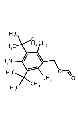 Cc1c(COC=O)c(C)c(C(C)(C)C)c(N)c1C(C)(C)C